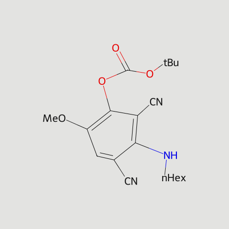 CCCCCCNc1c(C#N)cc(OC)c(OC(=O)OC(C)(C)C)c1C#N